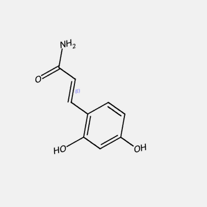 NC(=O)/C=C/c1ccc(O)cc1O